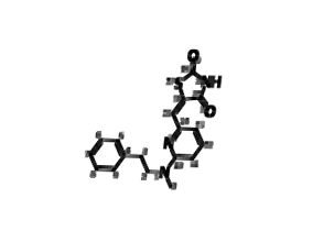 CN(CCc1ccccc1)c1cccc(C=C2SC(=O)NC2=O)n1